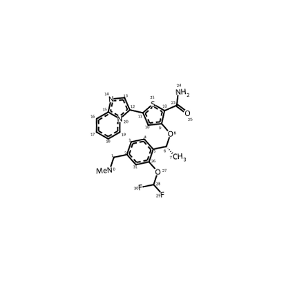 CNCc1ccc([C@@H](C)Oc2cc(-c3cnc4ccccn34)sc2C(N)=O)c(OC(F)F)c1